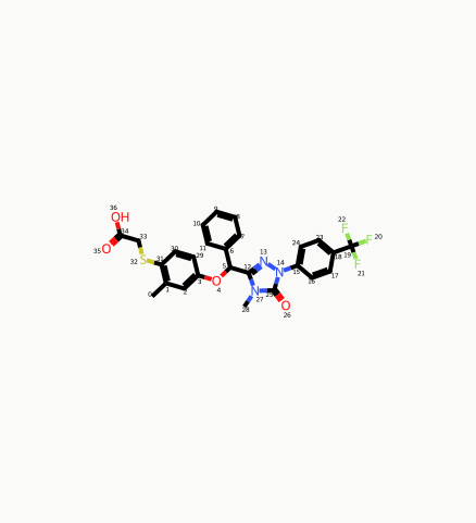 Cc1cc(OC(c2ccccc2)c2nn(-c3ccc(C(F)(F)F)cc3)c(=O)n2C)ccc1SCC(=O)O